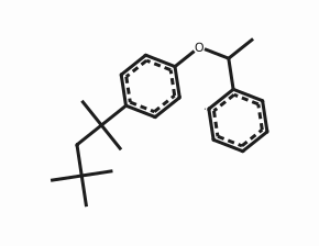 CC(Oc1ccc(C(C)(C)CC(C)(C)C)cc1)c1[c]cccc1